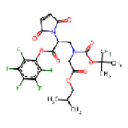 CC(C)COC(=O)CN(C[C@@H](C(=O)Oc1c(F)c(F)c(F)c(F)c1F)N1C(=O)C=CC1=O)C(=O)OC(C)(C)C